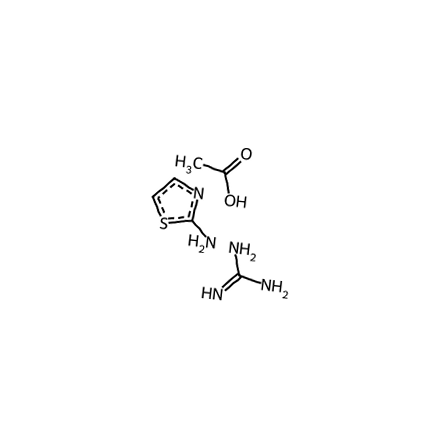 CC(=O)O.N=C(N)N.Nc1nccs1